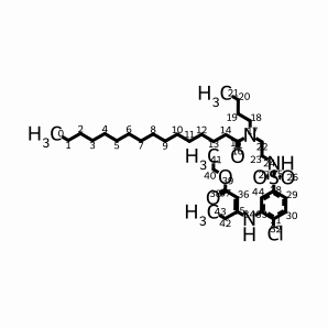 CCCCCCCCCCCCCCCC(=O)N(CCCC)CCNS(=O)(=O)c1ccc(Cl)c(NC(=CC(=O)OCC)CC)c1